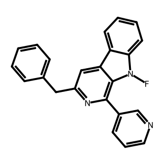 Fn1c2ccccc2c2cc(Cc3ccccc3)nc(-c3cccnc3)c21